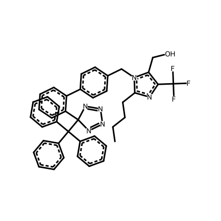 CCCCc1nc(C(F)(F)F)c(CO)n1Cc1ccc(-c2ccccc2C2(C(c3ccccc3)(c3ccccc3)c3ccccc3)N=NN=N2)cc1